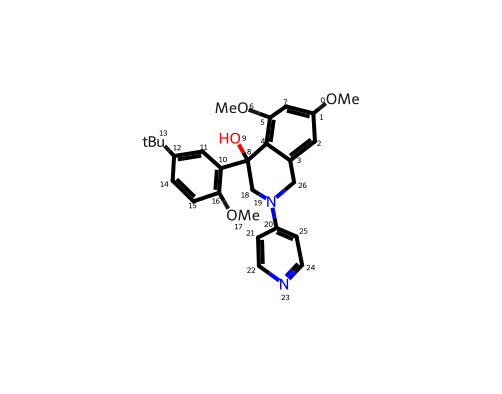 COc1cc2c(c(OC)c1)C(O)(c1cc(C(C)(C)C)ccc1OC)CN(c1ccncc1)C2